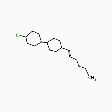 CCCC/C=C/C1CCC(C2CCC(Cl)CC2)CC1